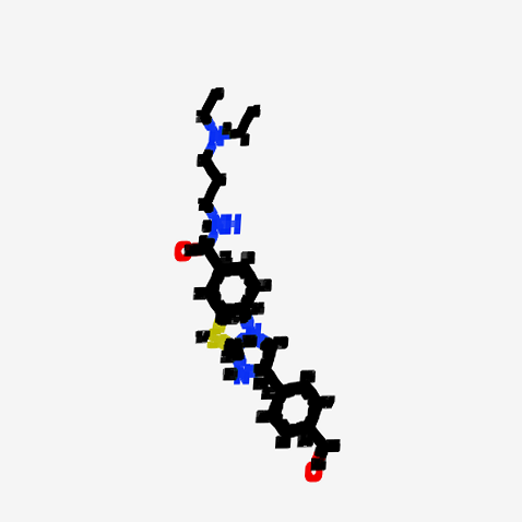 CCN(CC)CCCNC(=O)c1ccc2c(c1)sc1nc(-c3ccc(C=O)cc3)cn12